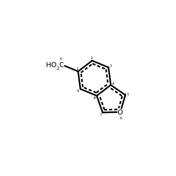 O=C(O)c1ccc2[c]occ2c1